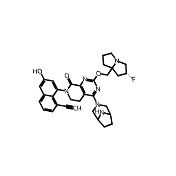 C#Cc1cccc2cc(O)cc(N3CCc4c(nc(OCC56CCCN5C[C@H](F)C6)nc4N4CC5CCC(C4)N5)C3=O)c12